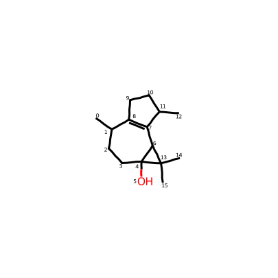 CC1CCC2(O)C(C3=C1CCC3C)C2(C)C